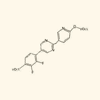 CCCCCCCCOc1ccc(-c2ncc(-c3ccc(CCCCCCCC)c(F)c3F)cn2)cn1